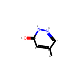 CC1=CC(=O)[N]N=C1